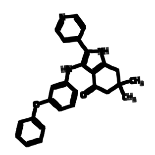 CC1(C)CC(=O)c2c([nH]c(-c3ccncc3)c2Nc2cccc(Oc3ccccc3)c2)C1